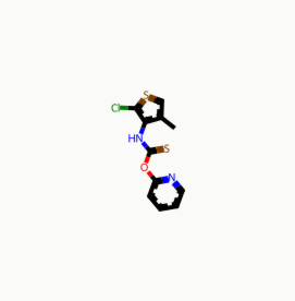 Cc1csc(Cl)c1NC(=S)Oc1ccccn1